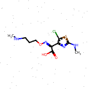 CNCCCO/N=C(\C(=O)O)c1nc(NC)sc1Cl